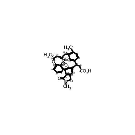 Cc1ccc(C(CC(=O)O)c2ccc3c(c2)CN(C)C3=O)cc1CN1C[C@@H](C)Oc2ccccc2S1(=O)=O